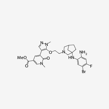 COC(=O)c1cc(-c2cnn(C)c2OCCN2CC3CCC(Nc4cc(Br)c(F)cc4N)(C3)C2)c(=O)n(C)c1